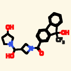 O=C(c1ccc2c(c1)C(O)(C(F)(F)F)c1ccccc1-2)N1CC(C(O)N2CCC(O)C2)C1